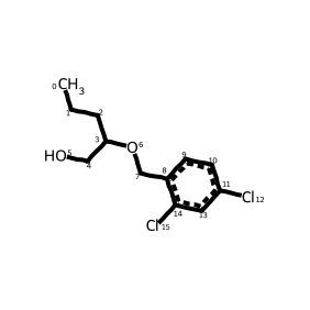 CCCC(CO)OCc1ccc(Cl)cc1Cl